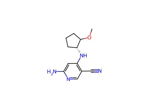 COC1CCC[C@H]1Nc1cc(N)ncc1C#N